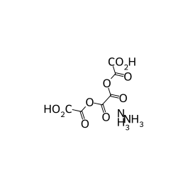 N.N.O=C(O)C(=O)OC(=O)C(=O)OC(=O)C(=O)O